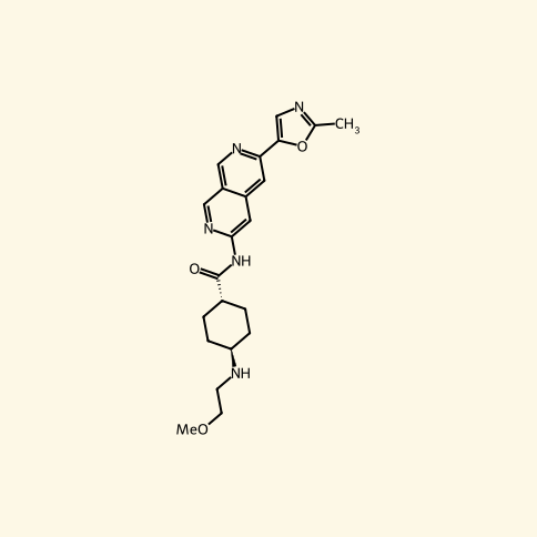 COCCN[C@H]1CC[C@H](C(=O)Nc2cc3cc(-c4cnc(C)o4)ncc3cn2)CC1